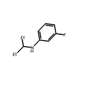 CCC(CC)Nc1cccc(F)c1